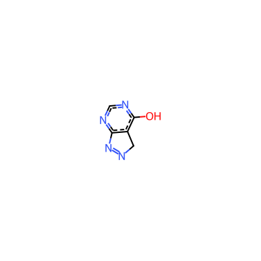 Oc1ncnc2c1CN=N2